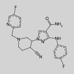 N#CC1CCN(Cc2ccc(F)cn2)CC1n1cc(C(N)=O)c(Nc2ccc(F)cc2)n1